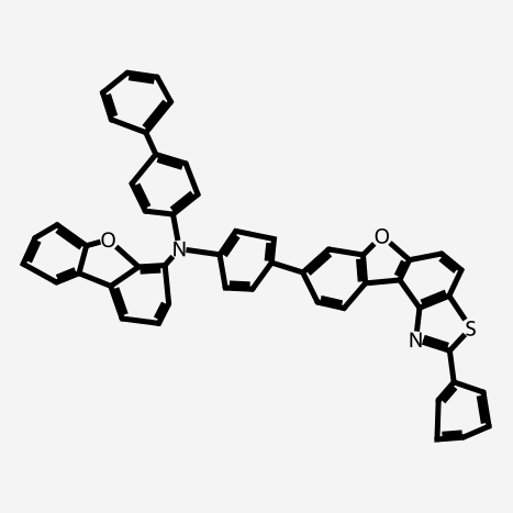 c1ccc(-c2ccc(N(c3ccc(-c4ccc5c(c4)oc4ccc6sc(-c7ccccc7)nc6c45)cc3)c3cccc4c3oc3ccccc34)cc2)cc1